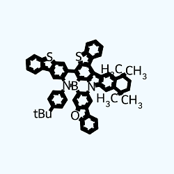 CC(C)(C)c1ccc(N2B3c4cc5oc6ccccc6c5cc4-n4c5cc6c(cc5c5c7c(sc8ccccc87)c(c3c54)-c3cc4sc5ccccc5c4cc32)C(C)(C)CCC6(C)C)cc1